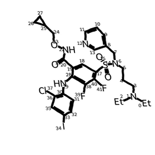 CCN(CC)CCCN(Cc1cccnc1)S(=O)(=O)c1cc(C(=O)NOCC2CC2)c(Nc2ccc(I)cc2Cl)c(F)c1F